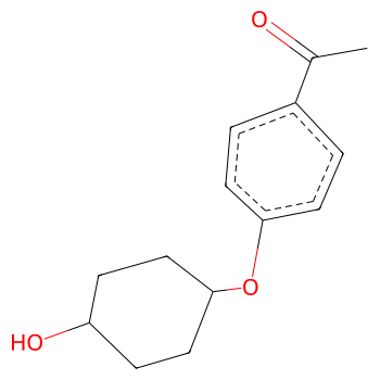 CC(=O)c1ccc(OC2CCC(O)CC2)cc1